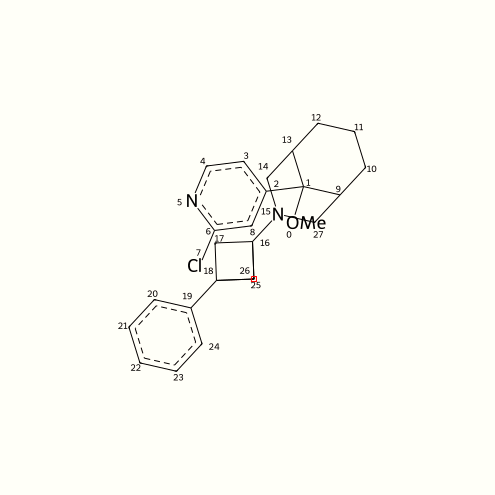 COC1(c2ccnc(Cl)c2)C2CCCC1CN(C13CC(c4ccccc4)(C1)C3)C2